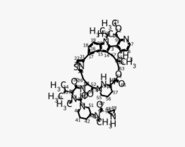 CCn1c(-c2cccnc2[C@H](C)OC)c2c3cc(ccc31)-c1csc(n1)C[C@H](NC(=O)[C@H](C(C)C)N(C)C(=O)N1CCC[C@H](N(C)C(=O)[C@@H]3CN3)C1)C(=O)N1CCC[C@H](N1)C(=O)OCC(C)(C)C2